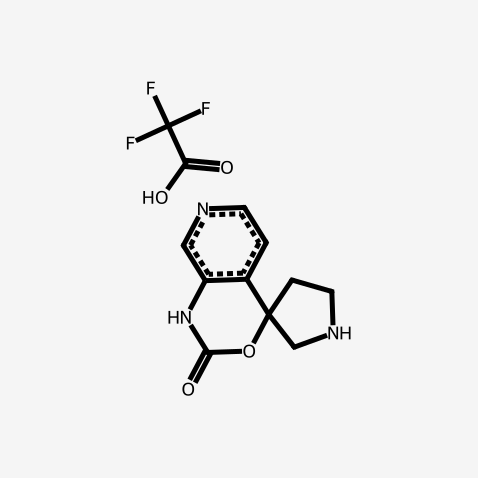 O=C(O)C(F)(F)F.O=C1Nc2cnccc2C2(CCNC2)O1